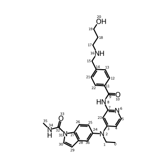 CCN(c1ccnc(NC(=O)c2ccc(CNCCCO)cc2)c1)c1ccc2c(ccn2C(=O)NC)c1